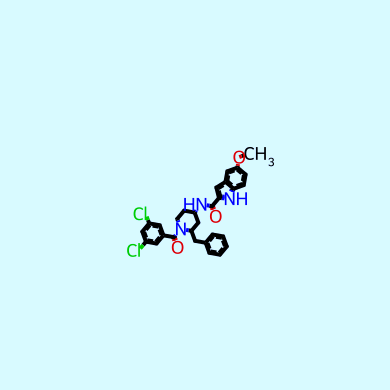 COc1ccc2[nH]c(C(=O)NC3CCN(C(=O)c4cc(Cl)cc(Cl)c4)C(Cc4ccccc4)C3)cc2c1